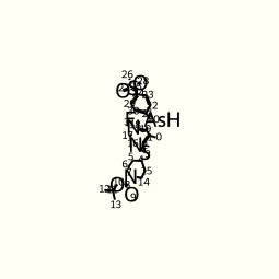 Cc1c(SC2CCN(C(=O)OC(C)C)CC2)ncnc1[AsH]c1ccc(S(C)(=O)=O)cc1F